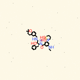 CCNc1cc(C(=O)N[C@@H](Cc2ccccc2)[C@@H](O)CNCc2ccc3c(c2)CCC(C)(C)O3)cc(N2CCCCS2(O)O)c1